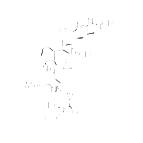 COc1nn([C@@H]2C[C@H]2C(=O)N(C)C)cc1-n1cc2c(-c3nc(-c4cc5cn(C)nc5nc4C(C)C)n(C)c3C3CC3)cccc2n1